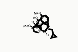 COc1ccc2c3c1O[C@H]1[C@@]4(OC)CC[C@@]5(C[C@]4(C)CO)[C@@H](C2)N(CC2CC2)CC[C@]315